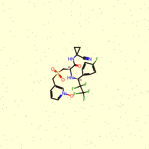 N#CC1(NC(=O)[C@H](CS(=O)(=O)Cc2ccc[n+]([O-])c2)N[C@@H](c2ccc(F)cc2)C(F)(F)C(F)(F)F)CC1